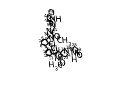 COc1nc(-c2cccc(-c3cccc(-c4cc5c(c(OC)n4)CCN(C[C@@H]4CCC(=O)N4)C5)c3Cl)c2Cl)cnc1CN1CC2(CCC(=O)N2)C1